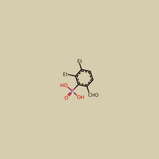 CCc1ccc(C=O)c(P(=O)(O)O)c1CC